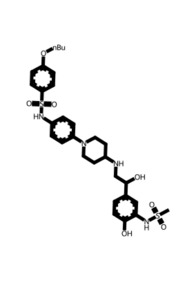 CCCCOc1ccc(S(=O)(=O)Nc2ccc(N3CCC(NCC(O)c4ccc(O)c(NS(C)(=O)=O)c4)CC3)cc2)cc1